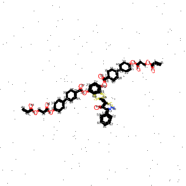 C=CC(=O)OCCC(=O)OC1CCC(C2CCC(C(=O)Oc3ccc(OC(=O)C4CCC(C5CCC(OC(=O)CCOC(=O)C=C)CC5)CC4)c4c3SC(=C3SN=C(c5ccccc5)C3=O)S4)CC2)CC1